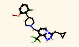 COc1cccc(F)c1C1CCN(Cc2ccn3c(CC4CC4)nnc3c2C(F)(F)F)CC1